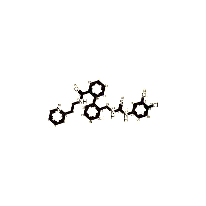 O=C(NCCc1ccccn1)c1ccccc1-c1ccccc1CNC(=S)Nc1ccc(Cl)c(Cl)c1